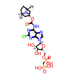 CN1[C@@H]2CC[C@H]1C[C@@H](OC(=O)Nc1nc(Cl)nc3c1ncn3[C@@H]1O[C@H](COP(=O)(O)CP(=O)(O)O)C(O)[C@@H]1O)C2